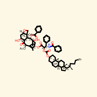 CC(=O)O[C@H]1C(=O)[C@@]2(C)[C@H]([C@H](OC(=O)c3ccccc3)[C@]3(O)C[C@H](OC(=O)[C@H](OC(=O)O[C@H]4CC[C@@]5(C)C(=CC[C@H]6[C@@H]7CC[C@H]([C@H](C)CCCC(C)C)[C@@]7(C)CC[C@@H]65)C4)[C@@H](NC(=O)c4ccccc4)c4ccccc4)C(C)=C1C3(C)C)[C@]1(OC(C)=O)CO[C@@H]1C[C@@H]2O